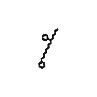 C=CCCCC(CC=CCCCCCc1ccccc1)c1ccccc1